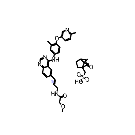 CC1(C)C2CCC1(CS(=O)(=O)O)C(=O)C2.COCC(=O)NC/C=C/c1ccc2ncnc(Nc3ccc(Oc4ccc(C)nc4)c(C)c3)c2c1